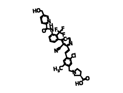 Cc1cc(/C=C/c2nccc(-c3cccc(NC(=O)c4ccc(CO)cn4)c3C(F)(F)F)c2C#N)c(Cl)cc1CN1CC[C@@H](C(=O)O)C1